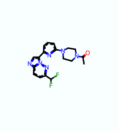 CC(=O)N1CCN(c2cccc(-c3cnc4ccc(C(F)F)nn34)n2)CC1